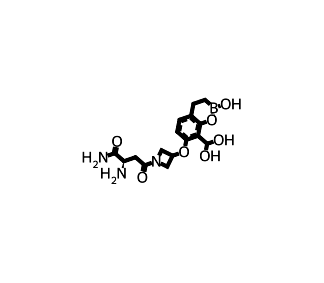 NC(=O)[C@@H](N)CC(=O)N1CC(Oc2ccc3c(c2C(O)O)OB(O)CC3)C1